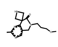 COCCCN1Cc2cnc(C)nc2C2(CNC2)C1=O